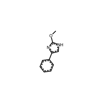 COc1nc(-c2ccccc2)c[nH]1